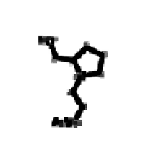 CC(=O)NCCN1CCCC1CO